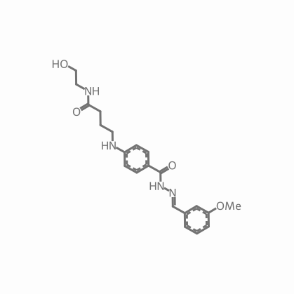 COc1cccc(C=NNC(=O)c2ccc(NCCCC(=O)NCCO)cc2)c1